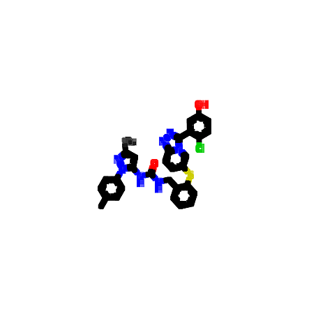 Cc1ccc(-n2nc(C(C)(C)C)cc2NC(=O)NCc2ccccc2Sc2ccc3nnc(-c4cc(O)ccc4Cl)n3c2)cc1